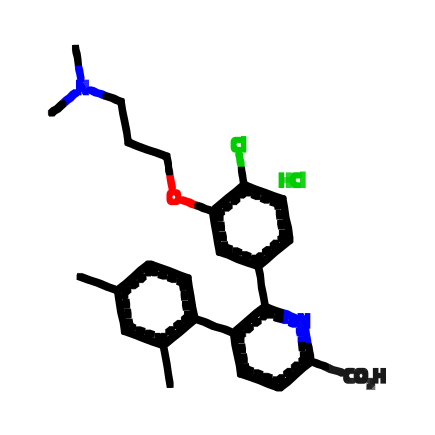 Cc1ccc(-c2ccc(C(=O)O)nc2-c2ccc(Cl)c(OCCCN(C)C)c2)c(C)c1.Cl